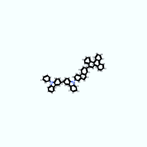 c1ccc(-n2c3ccccc3c3cc(-c4ccc5c(c4)c4ccccc4n5-c4ccc5c(ccc6cc(-c7cc8c9ccccc9c9ccccc9c8c8ccccc78)ccc65)c4)ccc32)cc1